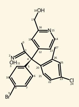 C/C(=N/O)[C@](c1ccc(Br)cc1)(c1ccnc(CO)c1)c1ccc(Cl)cc1C